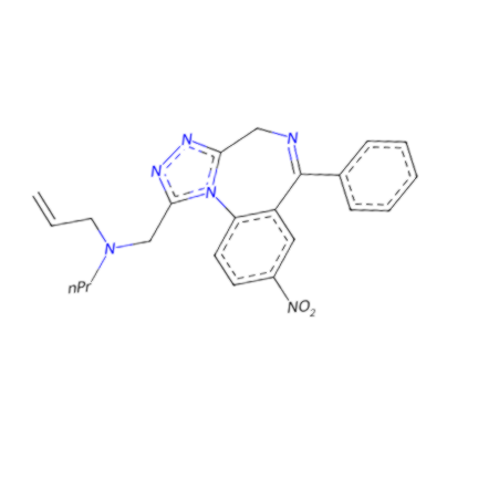 C=CCN(CCC)Cc1nnc2n1-c1ccc([N+](=O)[O-])cc1C(c1ccccc1)=NC2